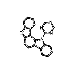 c1ccc2c(c1)oc1ccc3c4ccccc4n(-c4ncncn4)c3c12